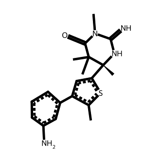 Cc1sc([C@@]2(C)NC(=N)N(C)C(=O)C2(C)C)cc1-c1cccc(N)c1